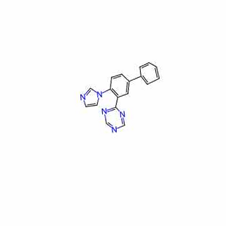 c1ccc(-c2ccc(-n3ccnc3)c(-c3ncncn3)c2)cc1